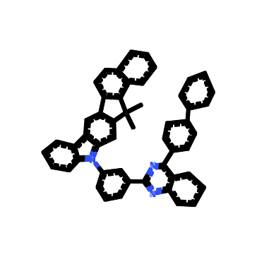 CC1(C)c2cc3c(cc2-c2ccc4ccccc4c21)c1ccccc1n3-c1cccc(-c2nc(-c3ccc(-c4ccccc4)cc3)c3ccccc3n2)c1